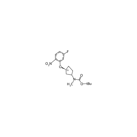 CN(C(=O)OC(C)(C)C)C1CC[C@H](Oc2cc(F)ccc2[N+](=O)[O-])C1